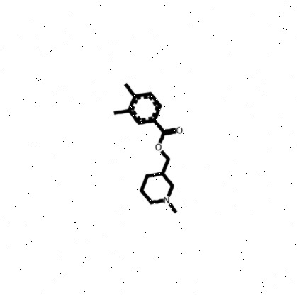 Cc1ccc(C(=O)OCC2CCCN(C)C2)cc1C